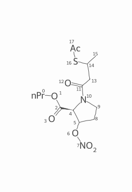 CCCOC(=O)[C@@H]1C(O[N+](=O)[O-])CCN1C(=O)CC(C)SC(C)=O